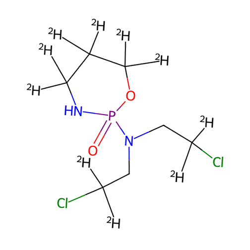 [2H]C([2H])(Cl)CN(CC([2H])([2H])Cl)P1(=O)NC([2H])([2H])C([2H])([2H])C([2H])([2H])O1